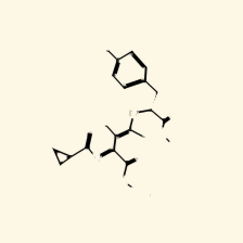 C=C(/N=C(C(=O)OC)\C(Cl)=C(/N)N[C@@H](Cc1ccc(Cl)cc1)C(=O)OC)C1CC1